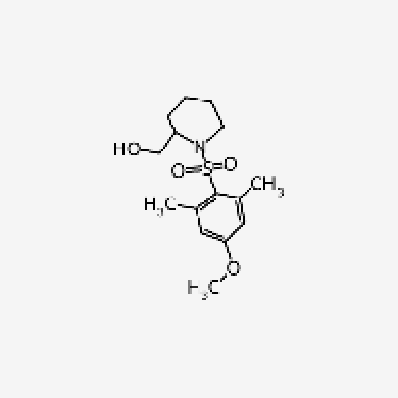 COc1cc(C)c(S(=O)(=O)N2CCCCC2CO)c(C)c1